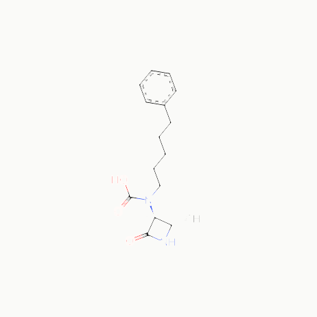 C[C@@H]1NC(=O)[C@H]1N(CCCCCc1ccccc1)C(=O)O